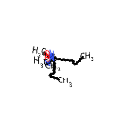 CCCCC/C=C\C/C=C\CCCCCCCCC1(CCCCCCCC/C=C\C/C=C\CCCCC)C=NC(C(=O)OCC)N1CCCN(C)C